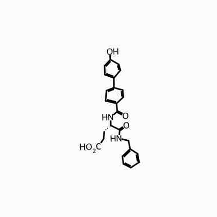 O=C(O)CC[C@H](NC(=O)c1ccc(-c2ccc(O)cc2)cc1)C(=O)NCc1ccccc1